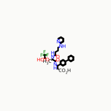 C[C@@H](NC(=O)CCCNc1ccccn1)C(=O)NC(CC(=O)O)c1ccc(-c2ccccc2)cc1.O=C(O)C(F)(F)F